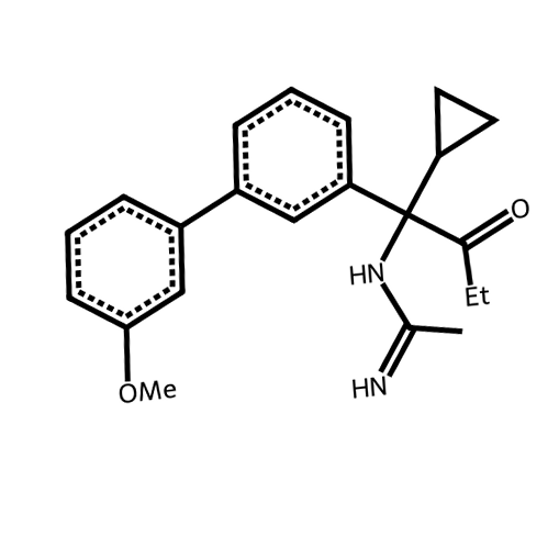 CCC(=O)C(NC(C)=N)(c1cccc(-c2cccc(OC)c2)c1)C1CC1